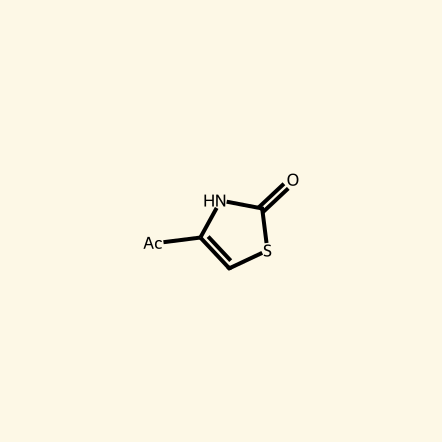 CC(=O)c1csc(=O)[nH]1